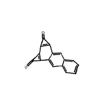 O=c1c2c3cc4ccccc4cc3c3c(=O)c3c12